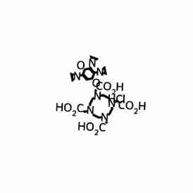 Cl.O=C(O)CN1CCN(CC(=O)O)CCN(CC(=O)O)CCN(CC(=O)O)CC1.O=C1C=C(N2CC2)C(=O)C(N2CC2)=C1N1CC1